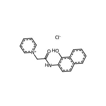 O=C(C[n+]1ccccc1)Nc1ccc2ccccc2c1O.[Cl-]